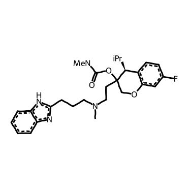 CNC(=O)OC1(CCN(C)CCCc2nc3ccccc3[nH]2)COc2cc(F)ccc2[C@@H]1C(C)C